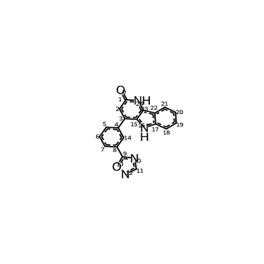 O=c1cc(-c2cccc(-c3ncno3)c2)c2[nH]c3ccccc3c2[nH]1